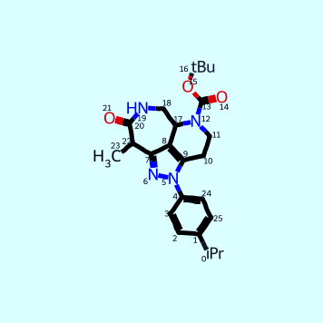 CC(C)c1ccc(-n2nc3c4c2CCN(C(=O)OC(C)(C)C)C4CNC(=O)C3C)cc1